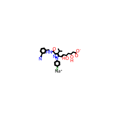 CC(C)c1c(C(=O)NCc2cccc(C#N)c2)nn(-c2ccc(F)cc2)c1C=C[C@H](O)C[C@@H](O)CC(=O)[O-].[Na+]